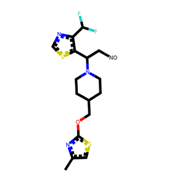 Cc1csc(OCC2CCN(C(CN=O)c3scnc3C(F)F)CC2)n1